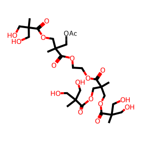 CC(=O)OCC(C)(COC(=O)C(C)(CO)CO)C(=O)OCCOC(=O)C(C)(COC(=O)C(C)(CO)CO)COC(=O)C(C)(CO)CO